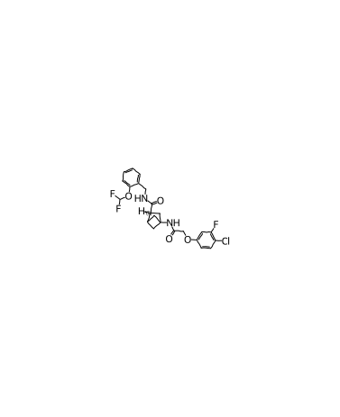 O=C(COc1ccc(Cl)c(F)c1)NC12CC(C1)[C@H](C(=O)NCc1ccccc1OC(F)F)C2